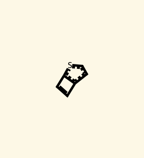 C1=Cc2sccc21